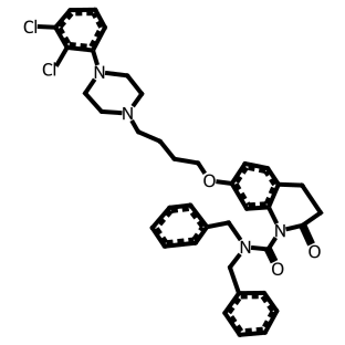 O=C1CCc2ccc(OCCCCN3CCN(c4cccc(Cl)c4Cl)CC3)cc2N1C(=O)N(Cc1ccccc1)Cc1ccccc1